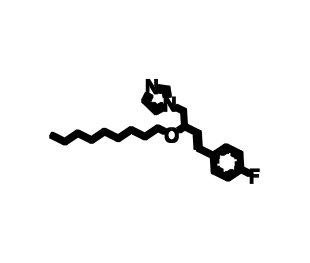 CCCCCCCCCOC(/C=C/c1ccc(F)cc1)Cn1ccnc1